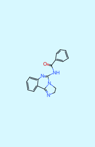 O=C(NC1=Nc2ccccc2C2=NCCN12)c1ccccc1